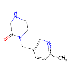 Cc1ccc(CN2CCNCC2=O)cn1